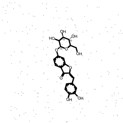 O=C1C(=Cc2ccc(O)c(O)c2)Oc2cc(O[C@@H]3OC(CO)[C@@H](O)[C@H](O)C3O)ccc21